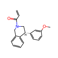 C=CC(=O)N1Cc2ccccc2[C@@H](c2cccc(OC)c2)C1